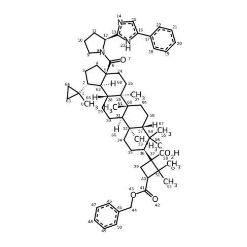 CC1([C@@H]2CC[C@]3(C(=O)N4CCC[C@H]4c4ncc(-c5ccccc5)[nH]4)CC[C@]4(C)[C@H](CC[C@@H]5[C@]6(C)CC[C@H](C7(C(=O)O)CC(C(=O)OCc8ccccc8)C7(C)C)C(C)(C)[C@H]6CC[C@]54C)[C@@H]23)CC1